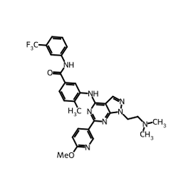 COc1ccc(-c2nc(Nc3cc(C(=O)Nc4cccc(C(F)(F)F)c4)ccc3C)c3cnn(CCN(C)C)c3n2)cn1